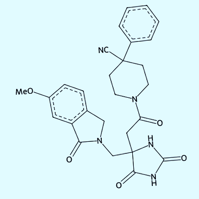 COc1ccc2c(c1)C(=O)N(CC1(CC(=O)N3CCC(C#N)(c4ccccc4)CC3)NC(=O)NC1=O)C2